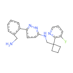 NCc1ccccc1-c1ccc(NCC2(c3ncccc3F)CCC2)nn1